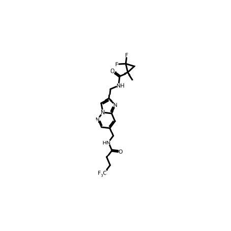 CC1(C(=O)NCc2cn3ncc(CNC(=O)CCC(F)(F)F)cc3n2)CC1(F)F